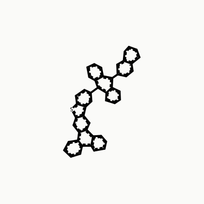 c1ccc2cc(-c3c4ccccc4c(-c4ccc5sc6cc7c8ccccc8c8ccccc8c7cc6c5c4)c4ccccc34)ccc2c1